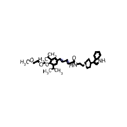 COCCOCOc1c(C(C)C)cc(/C=C/C=C/C(=O)NCCN2CCC(c3c[nH]c4ccccc34)CC2)cc1C(C)C